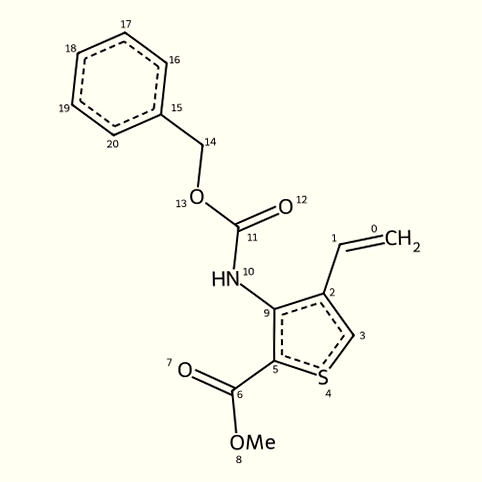 C=Cc1csc(C(=O)OC)c1NC(=O)OCc1ccccc1